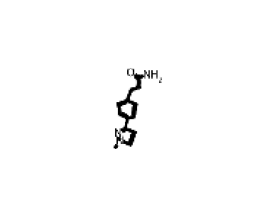 Cn1ccc(-c2ccc(CCC(N)=O)cc2)n1